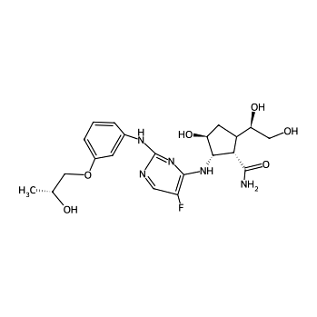 C[C@@H](O)COc1cccc(Nc2ncc(F)c(N[C@@H]3[C@@H](O)CC([C@@H](O)CO)[C@@H]3C(N)=O)n2)c1